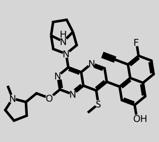 C#Cc1c(F)ccc2cc(O)cc(-c3cnc4c(N5CC6CCC(C5)N6)nc(OCC5CCCN5C)nc4c3SC)c12